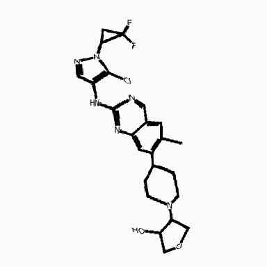 Cc1cc2cnc(Nc3cnn(C4CC4(F)F)c3Cl)nc2cc1C1CCN(C2COCC2O)CC1